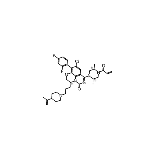 C=CC(=O)N1C[C@H](C)N(c2nc(=O)n3c4c(c(-c5ccc(F)cc5F)c(Cl)cc24)OC[C@H]3CCCN2CCC(C(=C)C)CC2)C[C@H]1C